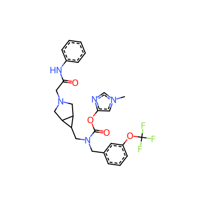 Cn1cnc(OC(=O)N(Cc2cccc(OC(F)(F)F)c2)CC2C3CN(CC(=O)Nc4ccccc4)CC32)c1